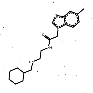 Cc1ccc2c(c1)ncn2CC(=O)NCCNCC1CCCCC1